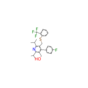 CC(C)c1nc(C(C)C)c(CSc2ccccc2C(F)(F)F)c(-c2ccc(F)cc2)c1CO